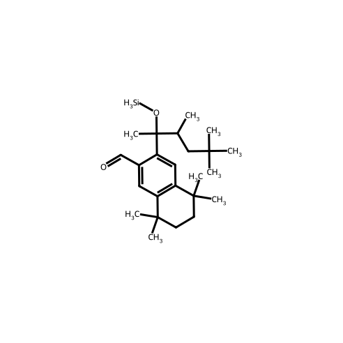 CC(CC(C)(C)C)C(C)(O[SiH3])c1cc2c(cc1C=O)C(C)(C)CCC2(C)C